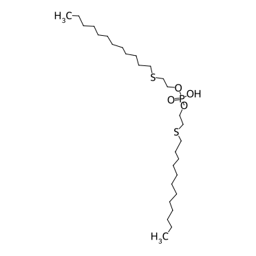 CCCCCCCCCCCCSCCOP(=O)(O)OCCSCCCCCCCCCCCC